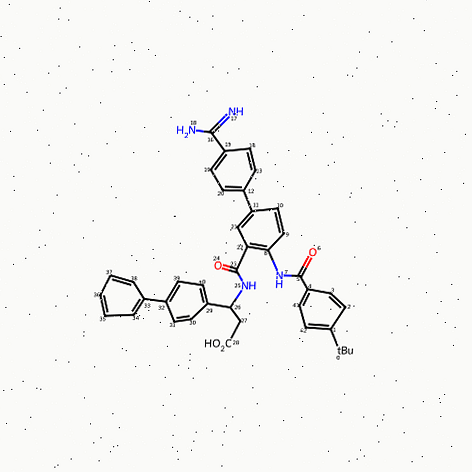 CC(C)(C)c1ccc(C(=O)Nc2ccc(-c3ccc(C(=N)N)cc3)cc2C(=O)NC(CC(=O)O)c2ccc(-c3ccccc3)cc2)cc1